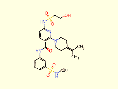 CC(C)=C1CCN(c2nc(NS(=O)(=O)CCO)ccc2C(=O)Nc2cccc(S(=O)(=O)NC(C)(C)C)c2)CC1